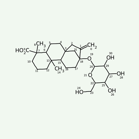 C=C1CC23CCC4C(C)(C(=O)O)CCCC4(C)C2CCC1(OC1OC(CO)C(O)C(O)C1O)C3